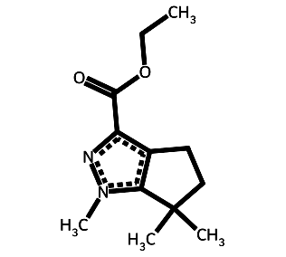 CCOC(=O)c1nn(C)c2c1CCC2(C)C